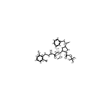 CO[C@@H](C1CC(N(C)Cc2ccccc2)CN1C(=O)OC(C)(C)C)[C@@H](C)C(=O)NCCc1c(F)cccc1F